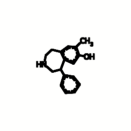 Cc1cc2c(cc1O)C(c1ccccc1)CNCC2